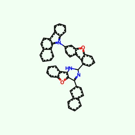 c1ccc2cc(C3=NC(c4cccc5oc6cc(-n7c8ccccc8c8ccc9ccccc9c87)ccc6c45)Nc4c3oc3ccccc43)ccc2c1